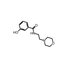 O=C(NCCN1CCOCC1)c1cccc(O)c1